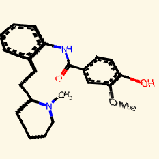 COc1cc(C(=O)Nc2ccccc2CCC2CCCCN2C)ccc1O